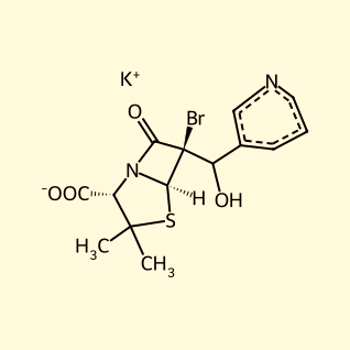 CC1(C)S[C@H]2N(C(=O)[C@]2(Br)C(O)c2cccnc2)[C@H]1C(=O)[O-].[K+]